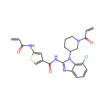 C=CC(=O)Nc1cc(C(=O)Nc2nc3cccc(Cl)c3n2C2CCCN(C(=O)C=C)C2)cs1